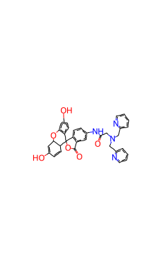 O=C(CN(Cc1ccccn1)Cc1ccccn1)Nc1ccc2c(c1)C(=O)OC21c2ccc(O)cc2OC2C=C(O)C=CC21